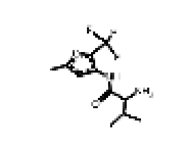 Cc1cc(NC(=O)C(N)C(C)C)c(C(F)(F)F)o1